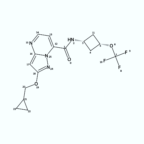 O=C(N[C@H]1C[C@@H](OC(F)(F)F)C1)c1ccnc2cc(OCC3CC3)nn12